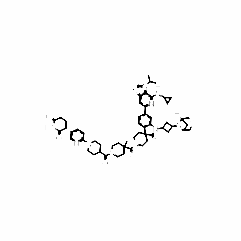 CC(C)n1cnc2cc(-c3ccc4c(c3)N(C3CC(N5C6COC[C@@H]5C6)C3)C(=O)C43CCN(C(=O)C4(C)CCN(C(=O)C5CCN(c6ccc([C@H]7CCC(=O)NC7=O)cn6)CC5)CC4)CC3)nc(NC3CC3)c21